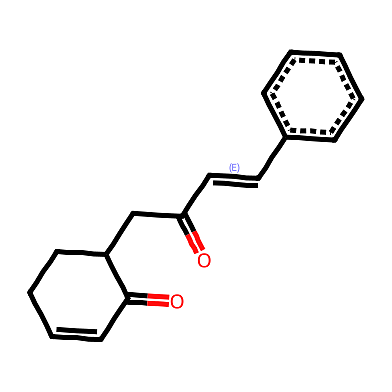 O=C(/C=C/c1ccccc1)CC1CCC=CC1=O